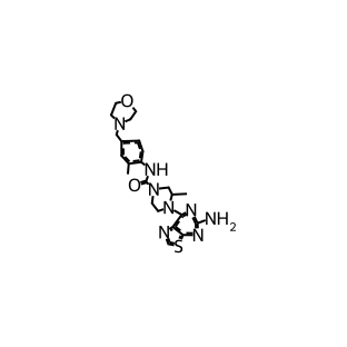 Cc1cc(CN2CCOCC2)ccc1NC(=O)N1CCN(c2nc(N)nc3scnc23)C(C)C1